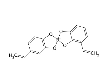 C=Cc1ccc2c(c1)O[B-]1(O2)Oc2cccc(C=C)c2O1